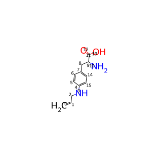 C=CCNc1ccc(CC(N)C(=O)O)cc1